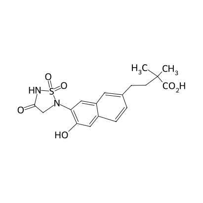 CC(C)(CCc1ccc2cc(O)c(N3CC(=O)NS3(=O)=O)cc2c1)C(=O)O